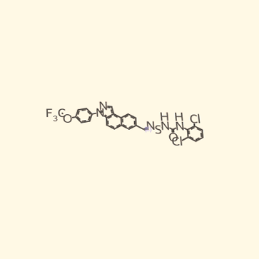 O=C(NS/N=C/c1ccc2c(ccc3c2cnn3-c2ccc(OC(F)(F)F)cc2)c1)Nc1c(Cl)cccc1Cl